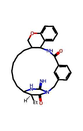 CC[C@@H]1C(=O)N2Cc3cccc(c3)C(=O)NC3c4ccccc4OCC3CCCCCCC1NC2=N